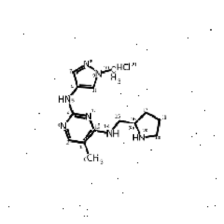 Cc1cnc(Nc2cnn(C)c2)nc1NC[C@H]1CCCN1.Cl